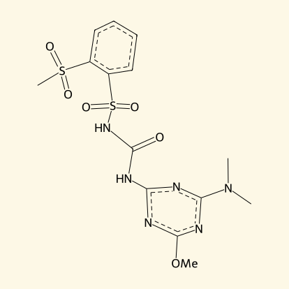 COc1nc(NC(=O)NS(=O)(=O)c2ccccc2S(C)(=O)=O)nc(N(C)C)n1